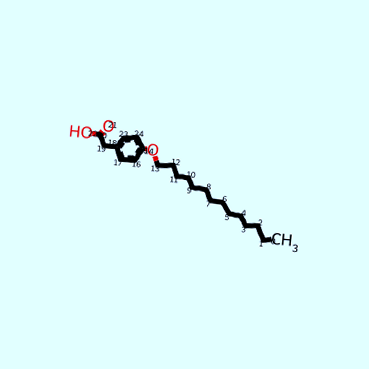 CCCCCCCCCCCCCCOc1ccc(CC(=O)O)cc1